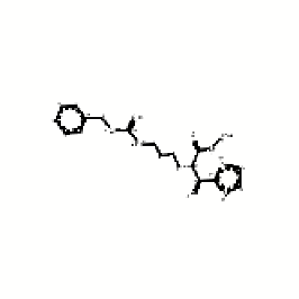 CC(C)(C)OC(=O)[C@@H](CCCCNC(=O)OCc1ccccc1)C(=O)c1nccs1